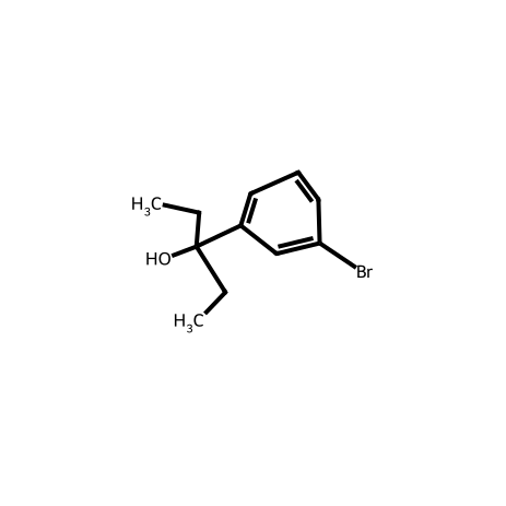 CCC(O)(CC)c1cccc(Br)c1